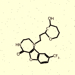 O=C1NCCN(CCC2CC(O)CCCO2)c2c1oc1ccc(C(F)(F)F)cc21